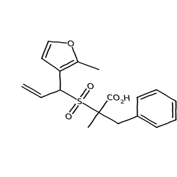 C=CC(c1ccoc1C)S(=O)(=O)C(C)(Cc1ccccc1)C(=O)O